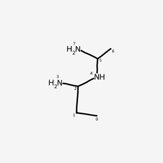 CCC(N)NC(C)N